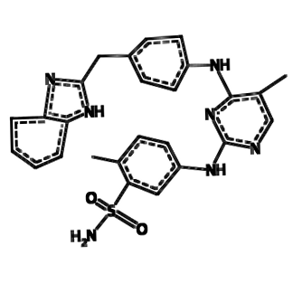 Cc1ccc(Nc2ncc(C)c(Nc3ccc(Cc4nc5ccccc5[nH]4)cc3)n2)cc1S(N)(=O)=O